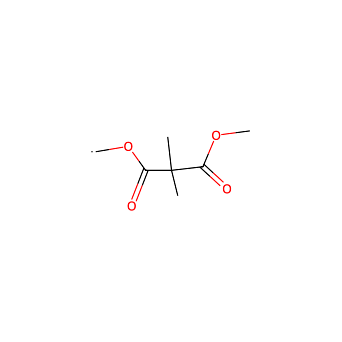 [CH2]OC(=O)C(C)(C)C(=O)OC